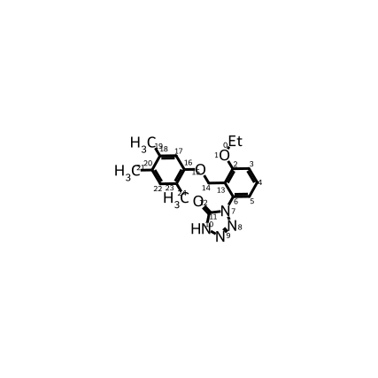 CCOc1cccc(-n2nn[nH]c2=O)c1COc1cc(C)c(C)cc1C